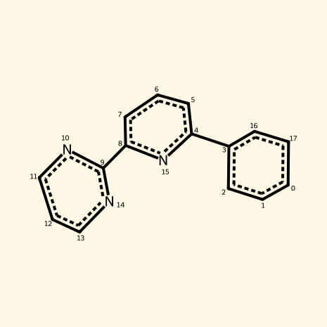 c1ccc(-c2cccc(-c3ncccn3)n2)cc1